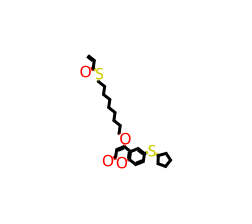 C=CC(=O)SCCCCCCCCCOc1cc(=O)oc2ccc(SC3CCCC3)cc12